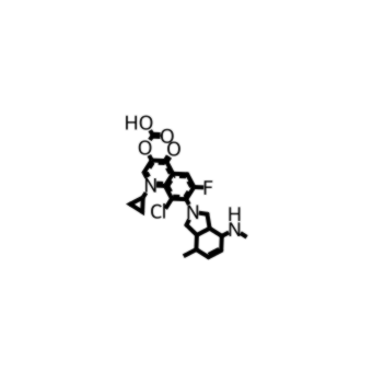 CNC1C=CC(C)C2CN(c3c(F)cc4c(=O)c(OC(=O)O)cn(C5CC5)c4c3Cl)CC12